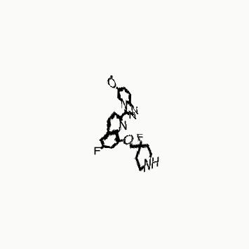 COc1ccc2nnc(-c3ccc4cc(F)cc(OCC5(F)CCNCC5)c4n3)n2c1